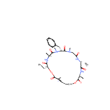 CC[C@H](C)[C@@H]1NC(=O)CN(C)C(=O)[C@@H](Cc2ccccc2)N(C)C(=O)[C@H](C)NC(=O)[C@@H](CC(C)C)OC(=O)/C(C)=C/CCCOC(=O)[C@H](C)NC1=O